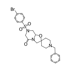 O=C1CN(S(=O)(=O)c2ccc(Br)cc2)CC2OC3(CCN(Cc4ccccc4)CC3)CN12